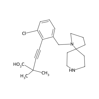 CC(C)(C#Cc1c(Cl)cccc1CN1CCCC12CCNCC2)C(=O)O